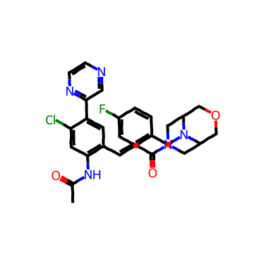 CC(=O)Nc1cc(Cl)c(-c2cnccn2)cc1/C=C/C(=O)N1CC2COCC(C1)N2Cc1ccc(F)cc1